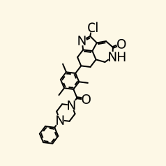 Cc1cc(C)c(C2CC3=C4C(=CC(=O)NCC4C2)C(Cl)=N3)c(C)c1C(=O)N1CCN(c2ccccc2)CC1